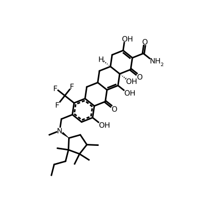 CCCC1(C)[C@@H](N(C)Cc2cc(O)c3c(c2C(F)(F)F)CC2C[C@H]4CC(O)=C(C(N)=O)C(=O)[C@@]4(O)C(O)=C2C3=O)CC(C)C1(C)C